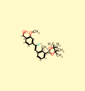 COc1cc(C(F)=Cc2cccc(B3OC(C)(C)C(C)(C)O3)c2C)ccc1CO